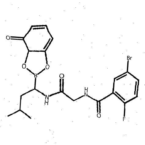 CC(C)CC(NC(=O)CNC(=O)c1cc(Br)ccc1F)B1OC2=CC=CC(=O)C2O1